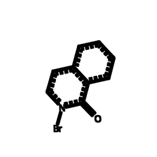 O=c1c2ccccc2ccn1Br